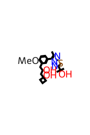 COc1ccc(-c2c(C)nc3sc(C(C)(C)O)nn23)cc1CC(O)CC1(O)CCC1